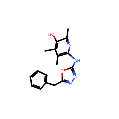 Cc1nc(Nc2nnc(Cc3ccccc3)o2)c(C)c(C)c1O